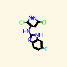 Fc1ccc2nc(Nc3cc(Cl)nnc3Cl)[nH]c2c1